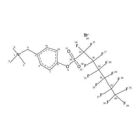 C[N+](C)(C)Cc1ccc(OS(=O)(=O)C(F)(F)C(F)(F)C(F)(F)C(F)(F)C(F)(F)C(F)(F)F)cc1.[Br-]